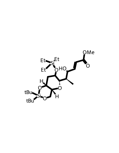 CC[Si](CC)(CC)OC1C[C@H]2O[Si](C(C)(C)C)(C(C)(C)C)OC[C@H]2O[C@H]1[C@H](C)[C@@H](O)/C=C/C(=O)OC